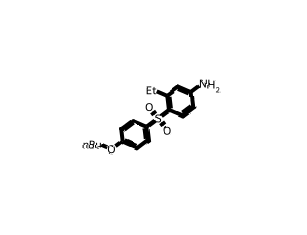 CCCCOc1ccc(S(=O)(=O)c2ccc(N)cc2CC)cc1